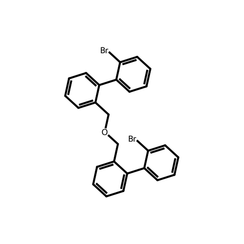 Brc1ccccc1-c1ccccc1COCc1ccccc1-c1ccccc1Br